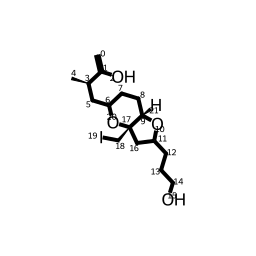 C=C(O)[C@H](C)CC1CC[C@@H]2OC(CCCO)C[C@]2(CI)O1